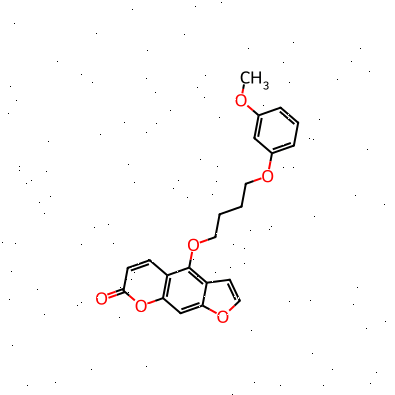 COc1cccc(OCCCCOc2c3ccoc3cc3oc(=O)ccc23)c1